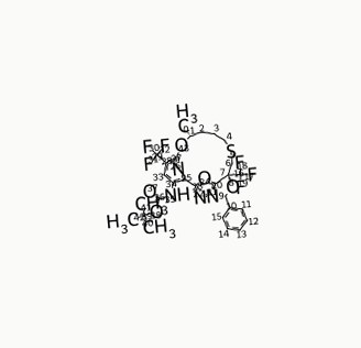 C[C@@H]1CCCSC[C@](OCc2ccccc2)(C(F)(F)F)c2nnc(o2)-c2nc(c(C(F)(F)F)cc2NC(=O)OC(C)(C)C)O1